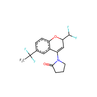 O=C1CCCN1C1=CC(C(F)F)Oc2ccc(C(F)(F)C(F)(F)F)cc21